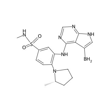 Bc1c[nH]c2ncnc(Nc3cc(S(=O)(=O)NC)ccc3N3CCC[C@@H]3C)c12